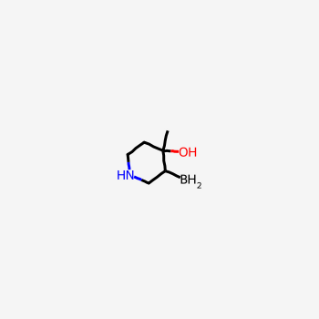 BC1CNCCC1(C)O